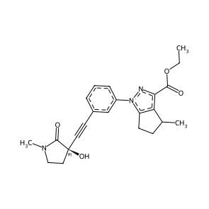 CCOC(=O)c1nn(-c2cccc(C#C[C@]3(O)CCN(C)C3=O)c2)c2c1C(C)CC2